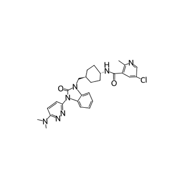 Cc1ncc(Cl)cc1C(=O)N[C@H]1CC[C@H](Cn2c(=O)n(-c3ccc(N(C)C)nn3)c3ccccc32)CC1